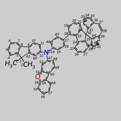 CC1(C)c2ccccc2-c2ccc(N(c3ccc(-c4cccc5c4-c4ccccc4C54c5ccccc5C=Cc5ccccc54)cc3)c3ccc4c(c3)oc3ccccc34)cc21